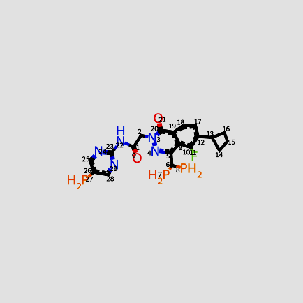 O=C(Cn1nc(C(P)P)c2c(F)c(C3CCC3)ccc2c1=O)Nc1ncc(P)cn1